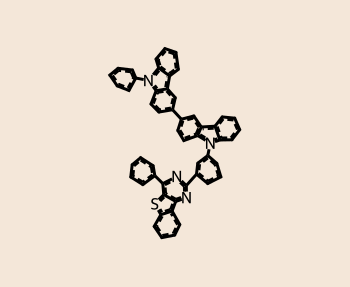 c1ccc(-c2nc(-c3cccc(-n4c5ccccc5c5cc(-c6ccc7c(c6)c6ccccc6n7-c6ccccc6)ccc54)c3)nc3c2sc2ccccc23)cc1